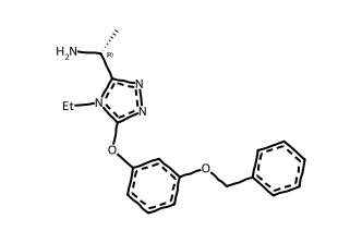 CCn1c(Oc2cccc(OCc3ccccc3)c2)nnc1[C@@H](C)N